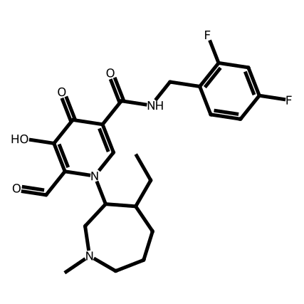 CCC1CCCN(C)CC1n1cc(C(=O)NCc2ccc(F)cc2F)c(=O)c(O)c1C=O